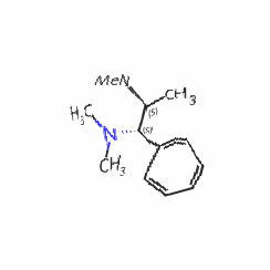 CN[C@@H](C)[C@H](c1ccccc1)N(C)C